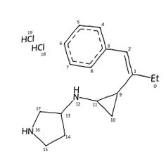 CCC(=Cc1ccccc1)C1CC1NC1CCNC1.Cl.Cl